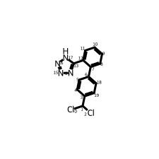 ClC(Cl)c1ccc(-c2ccccc2-c2nnn[nH]2)cc1